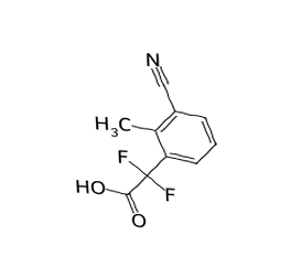 Cc1c(C#N)cccc1C(F)(F)C(=O)O